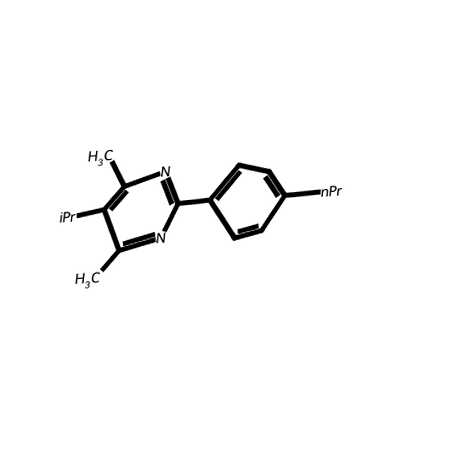 CCCc1ccc(-c2nc(C)c(C(C)C)c(C)n2)cc1